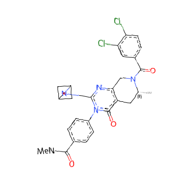 CNC(=O)c1ccc(-n2c(N3CC4CC3C4)nc3c(c2=O)C[C@@H](C)N(C(=O)c2ccc(Cl)c(Cl)c2)C3)cc1